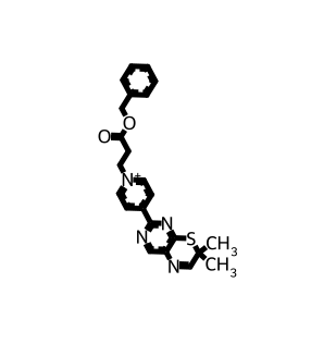 CC1(C)C=Nc2cnc(-c3cc[n+](CCC(=O)OCc4ccccc4)cc3)nc2S1